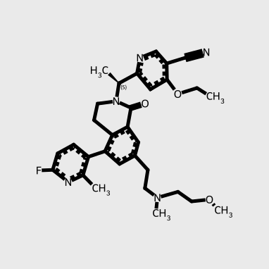 CCOc1cc([C@H](C)N2CCc3c(cc(CCN(C)CCOC)cc3-c3ccc(F)nc3C)C2=O)ncc1C#N